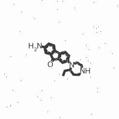 CCC1CCNCCN1c1ccc2c(c1)C(=O)c1cc(N)ccc1-2